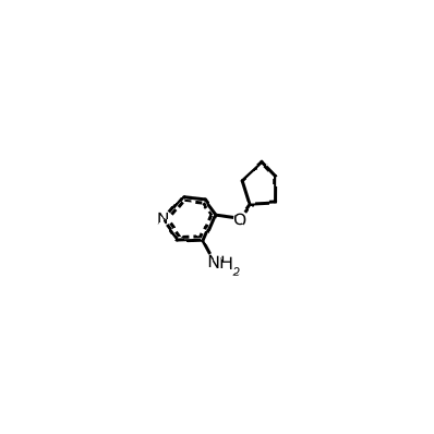 Nc1cnccc1OC1CCCC1